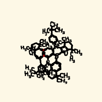 Cc1cc2c3c(c1)N(c1c(C)cc(C(C)(C)C)cc1-c1ccc4c(c1)C(C)(C)CCC4(C)C)c1c(ccc4c1C(C)(C)CCC4(C)C)B3c1oc3c(c1N2c1ccc(C(C)(C)C)cc1)C(C)(C)CCC3(C)C